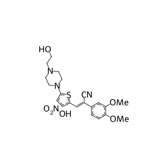 COc1ccc(/C(C#N)=C/c2ccc(N3CCN(CCO)CC3)s2)cc1OC.O=[N+]([O-])O